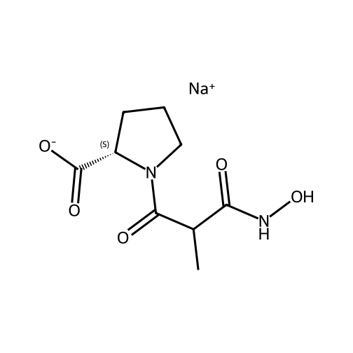 CC(C(=O)NO)C(=O)N1CCC[C@H]1C(=O)[O-].[Na+]